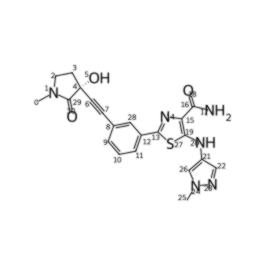 CN1CC[C@@](O)(C#Cc2cccc(-c3nc(C(N)=O)c(Nc4cnn(C)c4)s3)c2)C1=O